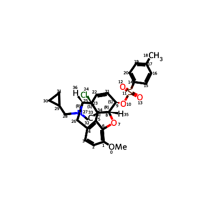 COc1ccc2c3c1O[C@H]1[C@@H](OS(=O)(=O)c4ccc(C)cc4)C=C[C@@]4(Cl)[C@@H](C2)N(CC2CC2)CC[C@]314